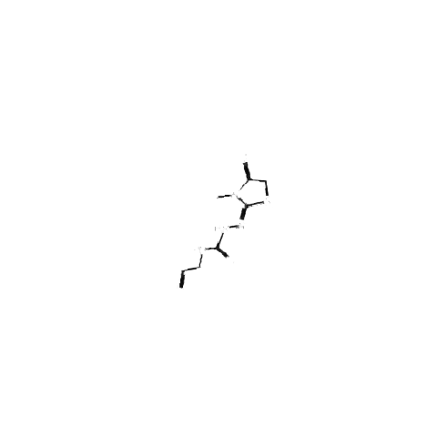 C=CCNC(=S)NN=C1SCC(=O)N1C